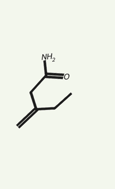 C=C(CC)CC(N)=O